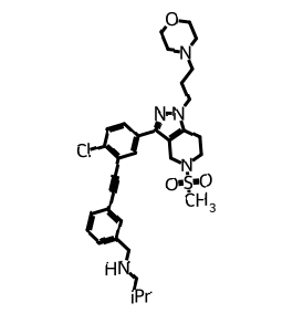 CC(C)CNCc1cccc(C#Cc2cc(-c3nn(CCCN4CCOCC4)c4c3CN(S(C)(=O)=O)CC4)ccc2Cl)c1